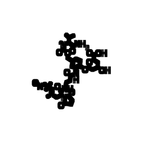 CC(C)C(C(N)=O)N(C)C(=O)OCc1ccc(OC2CC(O)CC(C(=O)O)O2)c(NC(=O)CCNC(=O)C(CN(C)CC(C)(C)CN=O)N2C(=O)C=CC2=O)c1